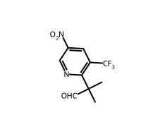 CC(C)(C=O)c1ncc([N+](=O)[O-])cc1C(F)(F)F